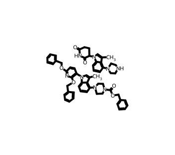 Cc1cn(-c2ccc(OCc3ccccc3)nc2OCc2ccccc2)c2cccc(N3CCN(C(=O)OCc4ccccc4)CC3)c12.Cc1cn(C2CCC(=O)NC2=O)c2cccc(N3CCNCC3)c12